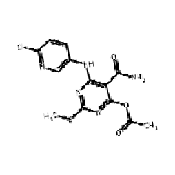 CSc1nc(Nc2ccc(Cl)nc2)c(C(N)=O)c(OC(C)=O)n1